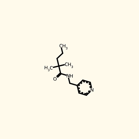 CCCC(C)(C)C(=O)NCc1ccncc1